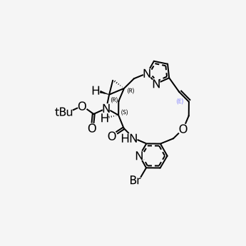 CC(C)(C)OC(=O)N1[C@H]2C[C@]3(C[C@@H]13)Cn1ccc(n1)/C=C/COCc1ccc(Br)nc1NC2=O